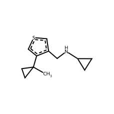 CC1(c2cscc2CNC2CC2)CC1